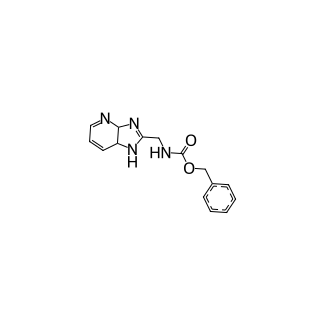 O=C(NCC1=NC2N=CC=CC2N1)OCc1ccccc1